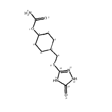 NC(=O)OC1CCC(CSc2n[nH]c(=O)[nH]2)CC1